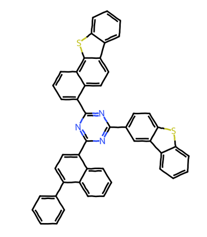 c1ccc(-c2ccc(-c3nc(-c4ccc5sc6ccccc6c5c4)nc(-c4cccc5c4ccc4c6ccccc6sc54)n3)c3ccccc23)cc1